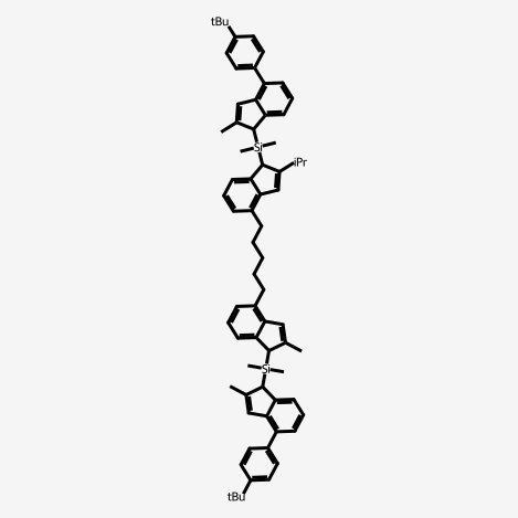 CC1=Cc2c(CCCCCc3cccc4c3C=C(C(C)C)C4[Si](C)(C)C3C(C)=Cc4c(-c5ccc(C(C)(C)C)cc5)cccc43)cccc2C1[Si](C)(C)C1C(C)=Cc2c(-c3ccc(C(C)(C)C)cc3)cccc21